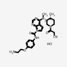 C[C@@H]1CCN(C(=O)CC#N)C[C@@H]1N(C)c1ncnc2c1ccn2C(=O)Nc1ccc(OCCN)cc1.Cl